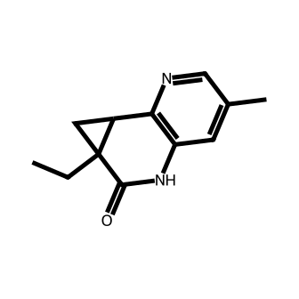 CCC12CC1c1ncc(C)cc1NC2=O